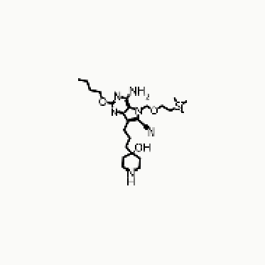 CCCCOc1nc(N)c2c(n1)c(CCCC1(O)CCNCC1)c(C#N)n2COCC[Si](C)(C)C